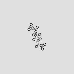 c1ccc(C2=c3c(n4c5ccc(N(c6ccccc6)c6cc7c8ccccc8n8c9ccccc9c(c6)c78)cc5c5cccc3c54)=C(c3ccccc3)C3c4cccc5c6cc(N(c7ccccc7)c7cc8c9ccccc9n9c%10ccccc%10c(c7)c89)ccc6n(c45)C23)cc1